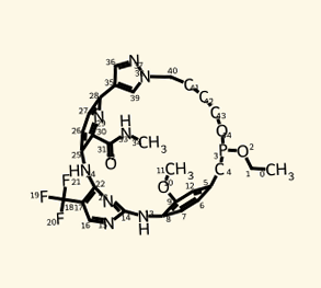 CCOP1Cc2ccc(c(OC)c2)Nc2ncc(C(F)(F)F)c(n2)Nc2ccc(nc2C(=O)NC)-c2cnn(c2)CCCCO1